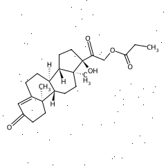 CCC(=O)OCC(=O)[C@@]1(O)CC[C@H]2[C@@H]3CCC4=CC(=O)CC[C@]4(C)[C@H]3CC[C@@]21C